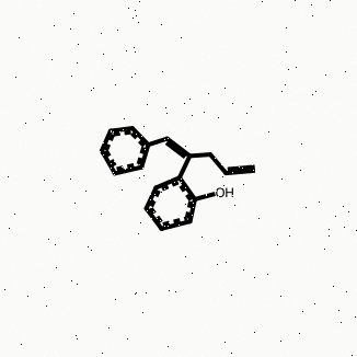 C=CCC(=Cc1ccccc1)c1ccccc1O